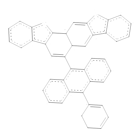 C1=CCCC(c2c3ccccc3c(C3=Cc4c(oc5ccccc45)C4C=c5sc6ccccc6c5=CC34)c3ccccc23)=C1